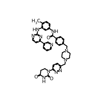 Cc1ccc(NC(=O)c2ccc(CN3CCN(Cc4ccc(N5CCC(=O)NC5=O)nn4)CC3)cc2)cc1Nc1nccc(-c2cccnc2)n1